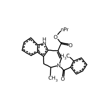 CCCOC(=O)C1=CN(C(=O)c2ccccc2C)C(C)Cc2c1[nH]c1ccccc21